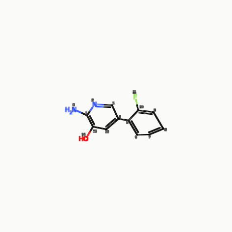 Nc1ncc(-c2ccccc2F)cc1O